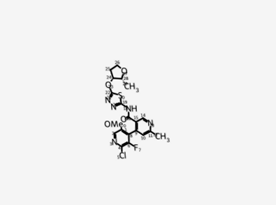 COc1cnc(Cl)c(F)c1-c1cc(C)ncc1C(=O)Nc1nnc(O[C@H]2CCO[C@@H]2C)s1